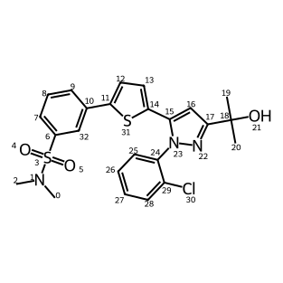 CN(C)S(=O)(=O)c1cccc(-c2ccc(-c3cc(C(C)(C)O)nn3-c3ccccc3Cl)s2)c1